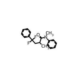 CC(CC(F)(F)c1ccccc1)C(=O)N(C)c1ccccc1